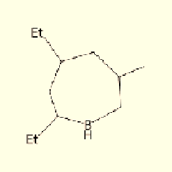 CCC1BCC(C)CC(CC)C1